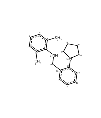 Cc1cccc(C)c1NCc1ccccc1N1CCCC1